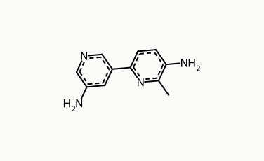 Cc1nc(-c2cncc(N)c2)ccc1N